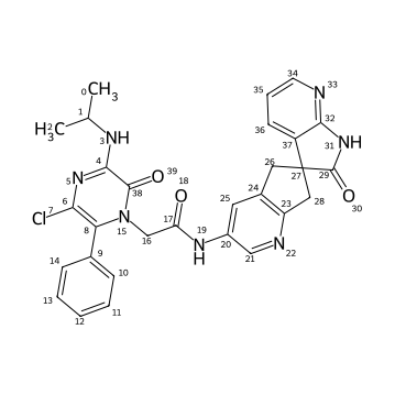 CC(C)Nc1nc(Cl)c(-c2ccccc2)n(CC(=O)Nc2cnc3c(c2)CC2(C3)C(=O)Nc3ncccc32)c1=O